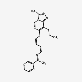 CCCc1c(C\C=C/C=C\N=C(/C)c2ccccn2)ncn2c(C)nnc12